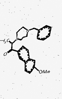 COc1ccc2cc(C(=O)C(C)N3CCN(Cc4ccccc4)CC3)ccc2c1